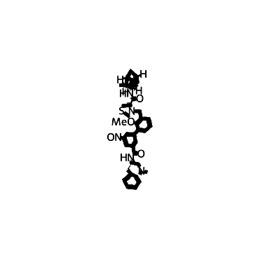 COc1c(CN2CSC[C@H]2C(=O)N[C@H]2C[C@H]3C[C@@H]([C@@H]2C)C3(C)C)cccc1-c1cc(N=O)cc(C(=O)N[C@@H](Cc2ccccc2)CN(C)C)c1